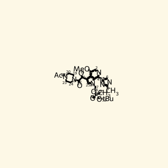 COc1cnc(-n2cnc(C)n2)c2c1c(C(=O)C(=O)N1CCN(C(C)=O)CC1)cn2COP(C)(=O)OC(C)(C)C